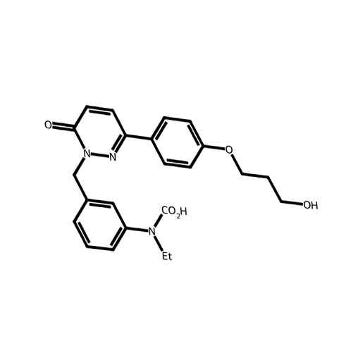 CCN(C(=O)O)c1cccc(Cn2nc(-c3ccc(OCCCO)cc3)ccc2=O)c1